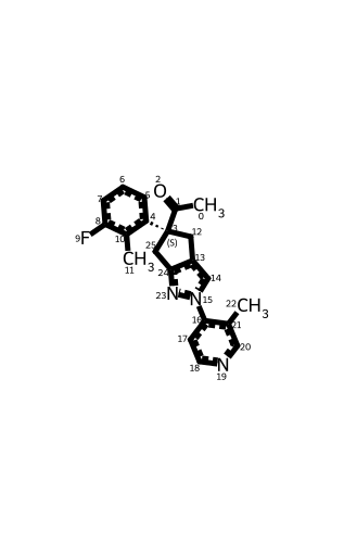 CC(=O)[C@@]1(c2cccc(F)c2C)Cc2cn(-c3ccncc3C)nc2C1